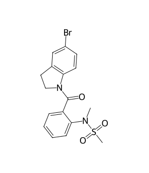 CN(c1ccccc1C(=O)N1CCc2cc(Br)ccc21)S(C)(=O)=O